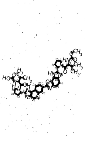 COC(=O)N[C@H](C(=O)N1CCC[C@H]1c1nc2ccc3nc(-c4ccc5c(c4)ncc4nc([C@@H]6CCCN6C(=O)[C@@H](NC(=O)O)C(C)C)[nH]c45)oc3c2[nH]1)C(C)C